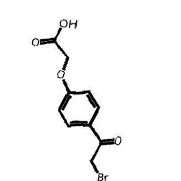 O=C(O)COc1ccc(C(=O)CBr)cc1